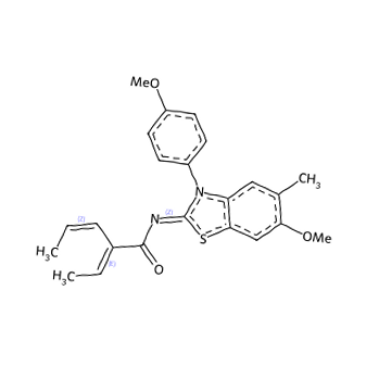 C/C=C\C(=C/C)C(=O)/N=c1\sc2cc(OC)c(C)cc2n1-c1ccc(OC)cc1